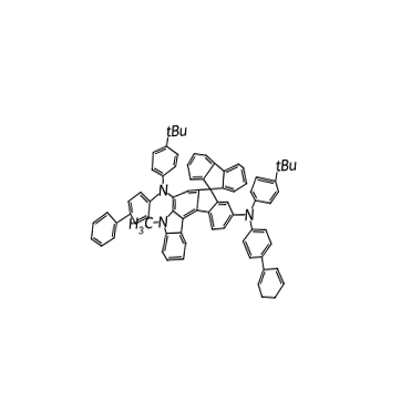 Cn1c2ccccc2c2c3c(cc(N(c4ccc(-c5ccccc5)cc4)c4ccc(C(C)(C)C)cc4)c21)C1(c2ccccc2-c2ccccc21)c1cc(N(c2ccc(C4=CCCC=C4)cc2)c2ccc(C(C)(C)C)cc2)ccc1-3